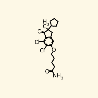 CC1(C2CCCC2)Cc2cc(OCCCCC(N)=O)c(Cl)c(Cl)c2C1=O